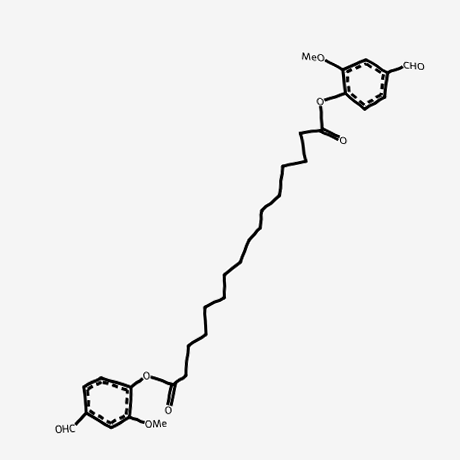 COc1cc(C=O)ccc1OC(=O)CCCCCCCCCCCCCCC(=O)Oc1ccc(C=O)cc1OC